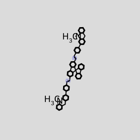 CN1c2ccccc2Cc2ccc(-c3ccc(/C=C/c4ccc5c(c4)C4(c6ccccc6-c6ccccc64)c4cc(/C=C/c6ccc(-c7ccc8c(c7)N(C)c7ccccc7C8)cc6)ccc4-5)cc3)cc21